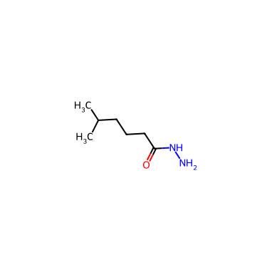 CC(C)CCCC(=O)NN